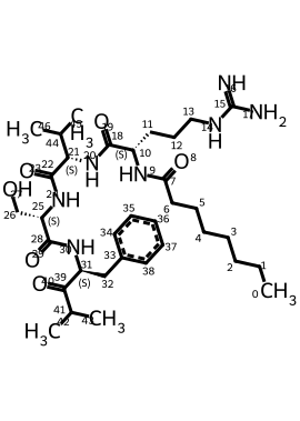 CCCCCCCC(=O)N[C@@H](CCCNC(=N)N)C(=O)N[C@H](C(=O)N[C@@H](CO)C(=O)N[C@@H](Cc1ccccc1)C(=O)C(C)C)C(C)C